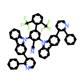 N#Cc1c(-n2c3ccccc3c3ccc(-c4cccnc4-c4ccccc4)cc32)cc(-c2c(C(F)(F)F)cccc2C(F)(F)F)cc1-n1c2ccccc2c2ccc(-c3cccnc3-c3ccccc3)cc21